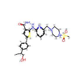 CC(CO)c1ccc(-c2cc(C(N)=O)c(Nc3cccc(CN4CCN(S(C)(=O)=O)CC4)n3)s2)cc1